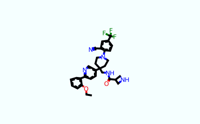 CCOc1ccccc1-c1ccc(C2(CNC(=O)C3CNC3)CCN(c3ccc(C(F)(F)F)cc3C#N)CC2)cn1